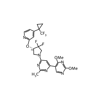 COc1ncc(-c2cc(N3C[C@H](Oc4cc(C5(C(F)(F)F)CC5)ccn4)C(F)(F)C3)nc(C)n2)c(OC)n1